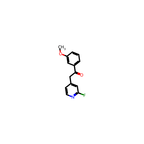 COc1cccc(C(=O)Cc2ccnc(F)c2)c1